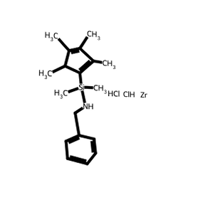 CC1=C(C)C(C)C([Si](C)(C)NCc2ccccc2)=C1C.Cl.Cl.[Zr]